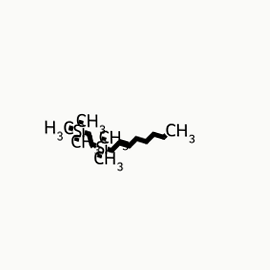 CCCCCC=CC[Si](C)(C)CC[Si](C)(C)C